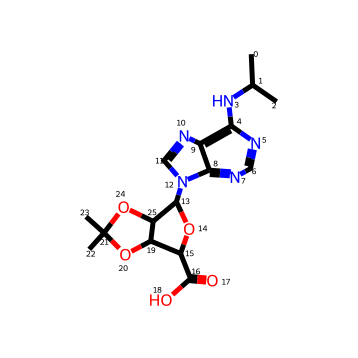 CC(C)Nc1ncnc2c1ncn2C1OC(C(=O)O)C2OC(C)(C)OC21